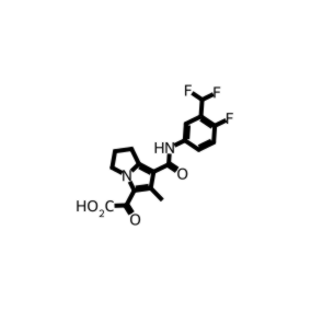 Cc1c(C(=O)Nc2ccc(F)c(C(F)F)c2)c2n(c1C(=O)C(=O)O)CCC2